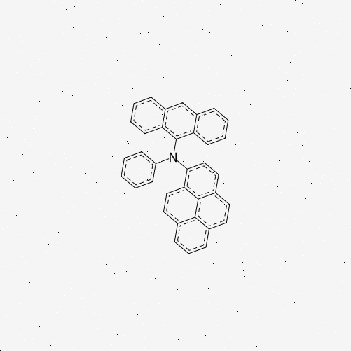 c1ccc(N(c2c3ccccc3cc3ccccc23)c2ccc3ccc4cccc5ccc2c3c45)cc1